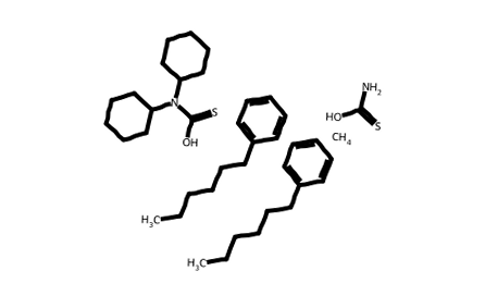 C.CCCCCCc1ccccc1.CCCCCCc1ccccc1.NC(O)=S.OC(=S)N(C1CCCCC1)C1CCCCC1